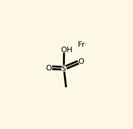 CS(=O)(=O)O.[Fr]